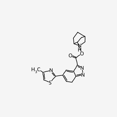 Cc1csc(C2=CCC3=NN=C(C(=O)OC4CC5CCC4NC5)C3=C2)n1